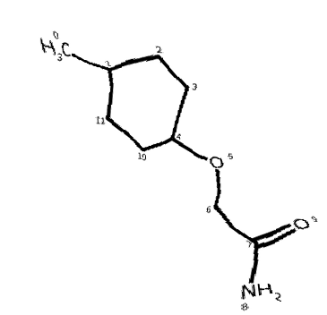 CC1CCC(OCC(N)=O)CC1